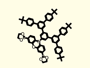 CC(C)(C)c1ccc(-c2cc(-c3ccc(C(C)(C)C)cc3)cc(-c3cc(-c4cc(-c5ccc(C(C)(C)C)cc5)cc(-c5ccc(C(C)(C)C)cc5)c4)cc(N4c5ccc(B6OCCO6)cc5Oc5cc(B6OCCO6)ccc54)c3)c2)cc1